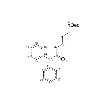 CCCCCCCCCCCCCCC(=O)C(c1ccccc1)c1ccccc1